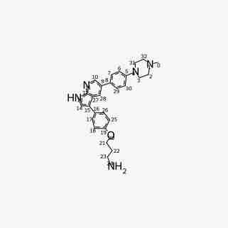 CN1CCN(c2ccc(-c3cnc4[nH]cc(-c5ccc(OCCCN)cc5)c4c3)cc2)CC1